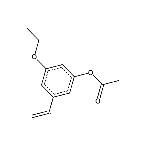 C=[C]c1cc(OCC)cc(OC(C)=O)c1